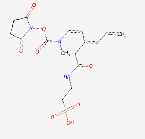 C=C/C=C(\C=C/N(C)C(=O)ON1C(=O)CCC1=O)CC(=O)NCCS(=O)(=O)O